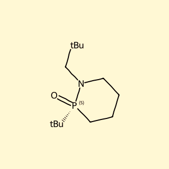 CC(C)(C)CN1CCCC[P@]1(=O)C(C)(C)C